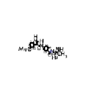 COc1ccc2[nH]cc(C(=O)Nc3ccc(/C(C)=N/NC(C)=N)cc3)c2c1